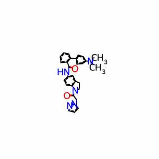 CN(C)c1ccc(-c2ccccc2C(=O)Nc2ccc3c(c2)CCN3C(=O)Cn2cccn2)cc1